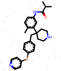 Cc1ccc(NC(=O)C(C)C)cc1C1(Cc2ccc(Sc3ccncc3)cc2)CCNCC1